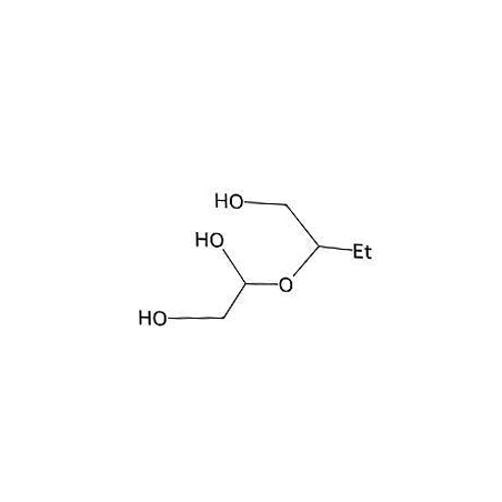 CCC(CO)OC(O)CO